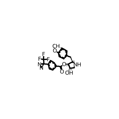 COc1ccc(C[C@H]2NC[C@H](O)[C@H]2OC(=O)c2ccc(C3(C(F)(F)F)N=N3)cc2)cc1